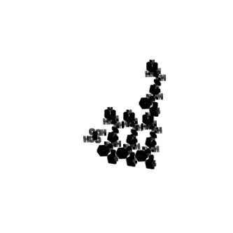 O=C(O)C(=O)O.c1csc(Cn2c(NC3CCN(CCNc4nc5cnccc5[nH]4)C3)nc3ccccc32)c1.c1csc(Cn2c(NC3CCN(CCNc4nc5cnccc5[nH]4)C3)nc3ccccc32)c1.c1csc(Cn2c(NC3CCN(CCNc4nc5cnccc5[nH]4)C3)nc3ccccc32)c1.c1csc(Cn2c(NC3CCN(CCNc4nc5cnccc5[nH]4)C3)nc3ccccc32)c1